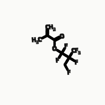 C=C(C)C(=O)OC(F)(F)C(F)(CF)C(F)(F)F